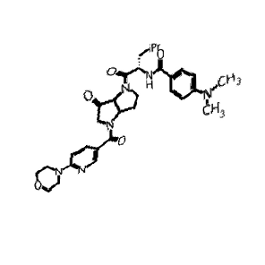 CC(C)C[C@H](NC(=O)c1ccc(N(C)C)cc1)C(=O)N1CCC2C1C(=O)CN2C(=O)c1ccc(N2CCOCC2)nc1